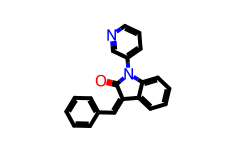 O=C1C(=Cc2ccccc2)c2ccccc2N1c1cccnc1